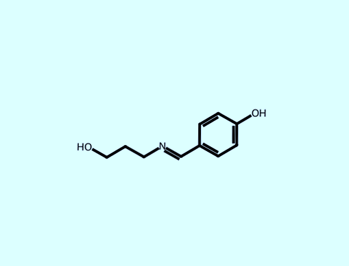 OCCCN=Cc1ccc(O)cc1